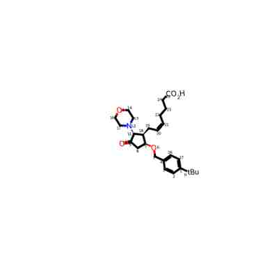 CC(C)(C)c1ccc(CO[C@H]2CC(=O)[C@H](N3CCOCC3)[C@H]2C/C=C\CCCC(=O)O)cc1